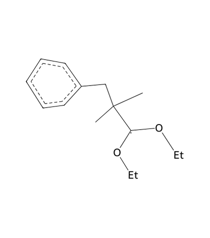 CCO[C](OCC)C(C)(C)Cc1ccccc1